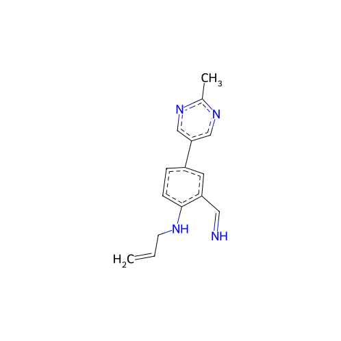 C=CCNc1ccc(-c2cnc(C)nc2)cc1C=N